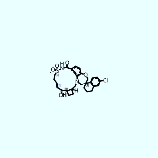 C[C@H]1C/C=C/[C@H](O)[C@@H]2CC[C@H]2CN2C[C@@]3(CCCc4cc(Cl)ccc43)COc3ccc(cc32)C(=O)NS1(=O)=O